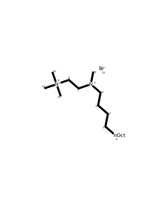 CCCCCCCCCCCCN(C)CC[N+](C)(C)C.[Br-]